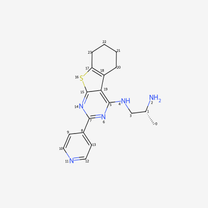 C[C@@H](N)CNc1nc(-c2ccncc2)nc2sc3c(c12)CCCC3